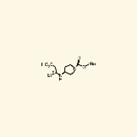 CC[C@@H](CC(=O)O)NC1CCN(C(=O)OC(C)(C)C)CC1